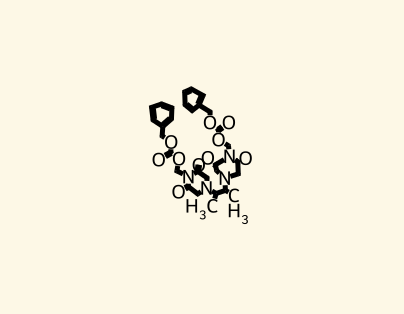 CC(C(C)N1CC(=O)N(COC(=O)OCc2ccccc2)C(=O)C1)N1CC(=O)N(COC(=O)OCc2ccccc2)C(=O)C1